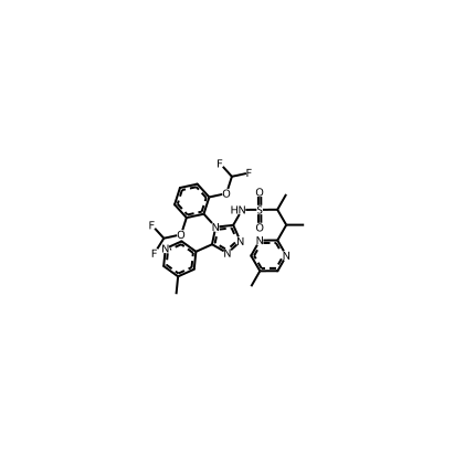 Cc1cnc(C(C)C(C)S(=O)(=O)Nc2nnc(-c3cncc(C)c3)n2-c2c(OC(F)F)cccc2OC(F)F)nc1